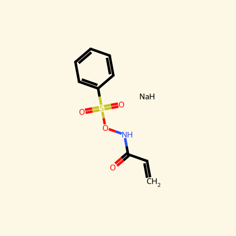 C=CC(=O)NOS(=O)(=O)c1ccccc1.[NaH]